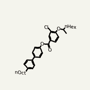 CCCCCCCCc1ccc(-c2ccc(OC(=O)c3ccc(OC(C)CCCCCC)c(Cl)c3)cc2)cc1